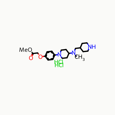 COC(=O)COc1ccc(N2CCC(N(C)CC3CCNCC3)CC2)cc1.Cl.Cl